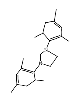 CC1=CC(C)=C(N2CCN(C3=C(C)C=C(C)CC3C)C2)C(C)C1